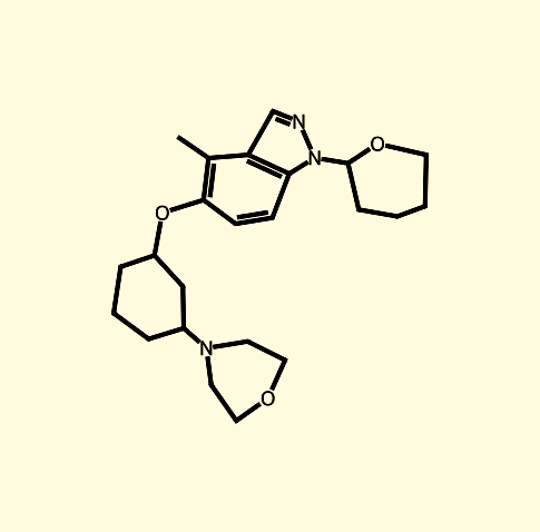 Cc1c(OC2CCCC(N3CCOCC3)C2)ccc2c1cnn2C1CCCCO1